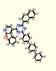 c1ccc(-c2ccc(-c3ccc(-c4nc(-c5ccc6ccccc6c5)nc(-c5ccnc6oc7ccccc7c56)n4)cc3)cc2)cc1